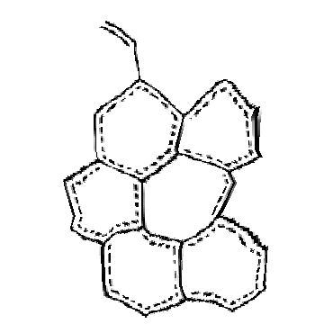 C=Cc1cc2ccc3ccc4cccc5c6cccc1c6c2c3c45